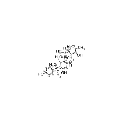 CC(C)/C(O)=C\[C@H](C)C(C)C(C)(C)C1=C(O)C=C(O)C(C(C)(C)c2ccc(O)cc2)C1